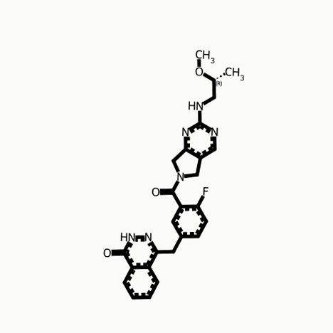 CO[C@H](C)CNc1ncc2c(n1)CN(C(=O)c1cc(Cc3n[nH]c(=O)c4ccccc34)ccc1F)C2